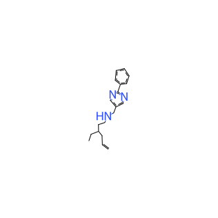 C=CCC(CC)CCNCc1cnc(-c2ccccc2)nc1